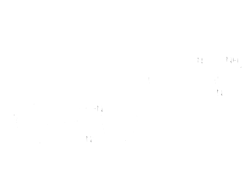 Nc1ncc2cc(-c3ccc4nc(-c5ccsc5)cn4c3)ccc2n1